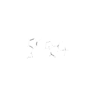 CC(C)(C)OC(=O)N1C[C@@H](Cc2cccc(C3CC3)c2)C[C@@H]1C(=O)O